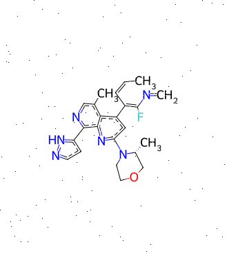 C=N/C(F)=C(\C=C/C)c1cc(N2CCOC[C@H]2C)nc2c(-c3ccn[nH]3)ncc(C)c12